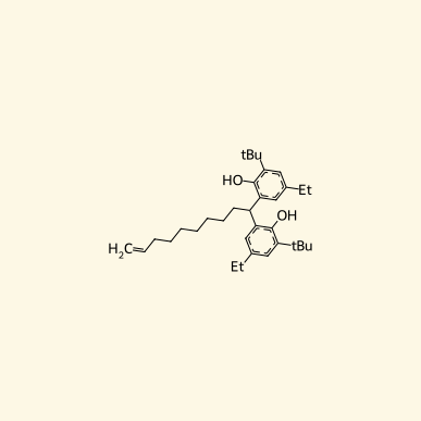 C=CCCCCCCCC(c1cc(CC)cc(C(C)(C)C)c1O)c1cc(CC)cc(C(C)(C)C)c1O